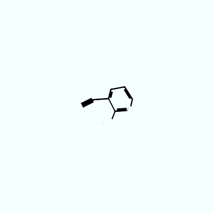 C#Cc1cccnc1C=O